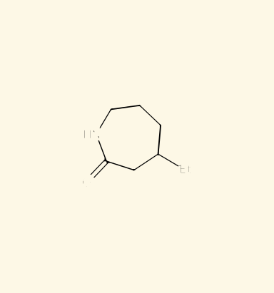 CCC1CCCNC(=O)C1